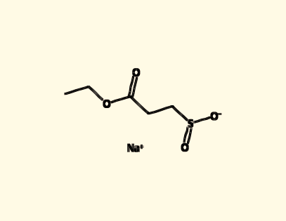 CCOC(=O)CCS(=O)[O-].[Na+]